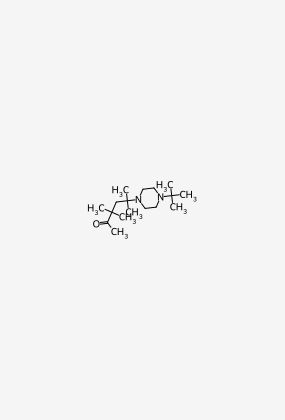 CC(=O)C(C)(C)CC(C)(C)N1CCN(C(C)(C)C)CC1